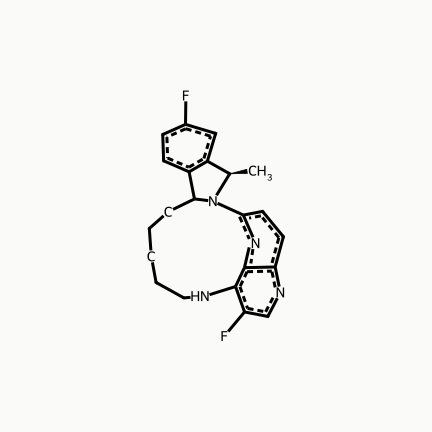 C[C@@H]1c2cc(F)ccc2C2CCCCCNc3c(F)cnc4ccc(nc34)N21